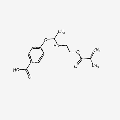 C=C(C)C(=O)OCCNC(C)Oc1ccc(C(=O)O)cc1